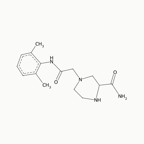 Cc1cccc(C)c1NC(=O)CN1CCNC(C(N)=O)C1